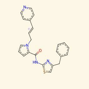 O=C(Nc1nc(Cc2ccccc2)cs1)c1cccn1C/C=C/c1ccncc1